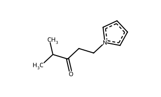 CC(C)C(=O)CCn1cccc1